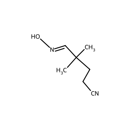 CC(C)(C=NO)CCC#N